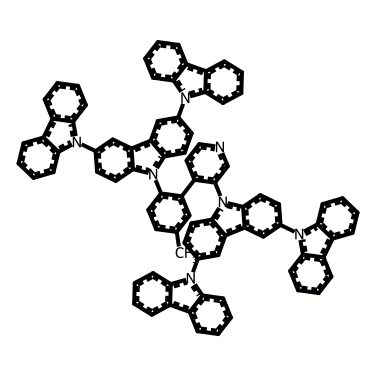 FC(F)(F)c1ccc(-n2c3ccc(-n4c5ccccc5c5ccccc54)cc3c3cc(-n4c5ccccc5c5ccccc54)ccc32)c(-c2ccncc2-n2c3ccc(-n4c5ccccc5c5ccccc54)cc3c3cc(-n4c5ccccc5c5ccccc54)ccc32)c1